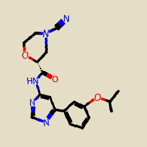 CC(C)Oc1cccc(-c2cc(NC(=O)[C@H]3CN(C#N)CCO3)ncn2)c1